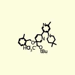 Cc1cc(N2CCC(C)(C)CC2)c(C2C=CC(OCc3c(C)cccc3Cl)([C@H](OC(C)(C)C)C(=O)O)C=N2)cn1